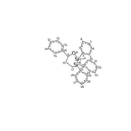 C[Si]1(c2ccccc2)OC(c2ccccc2)CC[Si]1(c1ccccc1)c1ccccc1